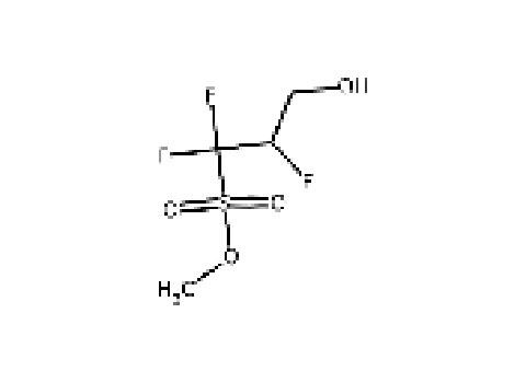 COS(=O)(=O)C(F)(F)C(F)CO